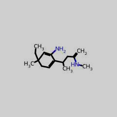 C=C(CC(C)C1=CCC(C)(CC)C=C1N)NC